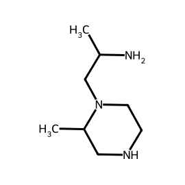 CC(N)CN1CCNCC1C